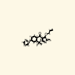 C=CCOc1c(C(=O)c2ccc(-n3cncn3)cc2C(F)(F)F)cnn1C